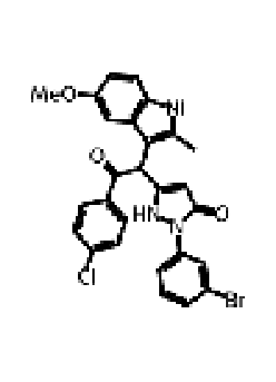 COc1ccc2[nH]c(C)c(C(C(=O)c3ccc(Cl)cc3)c3cc(=O)n(-c4cccc(Br)c4)[nH]3)c2c1